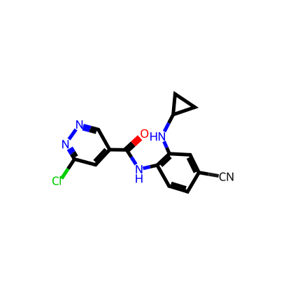 N#Cc1ccc(NC(=O)c2cnnc(Cl)c2)c(NC2CC2)c1